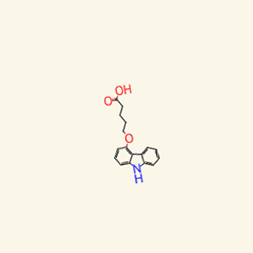 O=C(O)CCCCOc1cccc2[nH]c3ccccc3c12